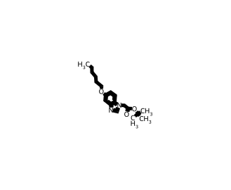 CCCCCCOc1ccc2c(c1)ncn2CC(=O)OC(C)(C)C